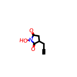 C#CCC1CC(=O)N(O)C1=O